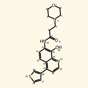 O=C(CCN1CCOCC1)Nc1ccc2c(-c3ccsc3)ccnc2c1O